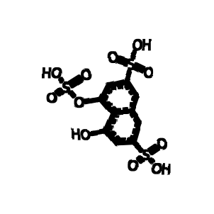 O=S(=O)(O)Oc1cc(S(=O)(=O)O)cc2cc(S(=O)(=O)O)cc(O)c12